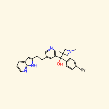 CC(C)c1ccc(C(O)(c2cncc(CCc3cc4cccnc4[nH]3)c2)C2(C)CN(C)C2)cc1